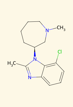 Cc1nc2cccc(Cl)c2n1[C@H]1CCCCN(C)C1